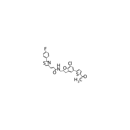 CC(=O)c1ccc(-c2cc(Cl)c3c(c2)CC(CNC(=O)/C=C/c2csc(-c4ccc(F)cc4)n2)O3)s1